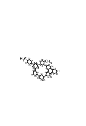 Cc1ccc(-c2nc(-c3ccc(C)cc3)nc(-c3cccc(-c4cccc(-c5ccc6c7ccccc7c7ccccc7c6c5)c4)c3)n2)cc1